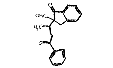 CC(CC(=O)c1ccccc1)C1(C=O)Cc2ccccc2C1=O